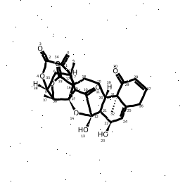 C=C1C(=O)O[C@@H]2C[C@@]1(C)C1C(=O)[C@@]3(O)O[C@@]14[C@@](O)(CC[C@H]1C3[C@H](O)C=C3CC=CC(=O)[C@@]31C)C(=O)O[C@@]24C